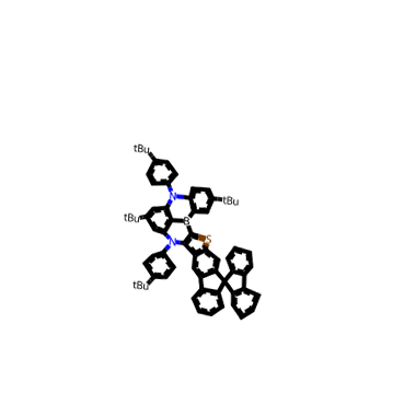 CC(C)(C)c1ccc(N2c3ccc(C(C)(C)C)cc3B3c4sc5cc6c(cc5c4N(c4ccc(C(C)(C)C)cc4)c4cc(C(C)(C)C)cc2c43)-c2ccccc2C62c3ccccc3-c3ccccc32)cc1